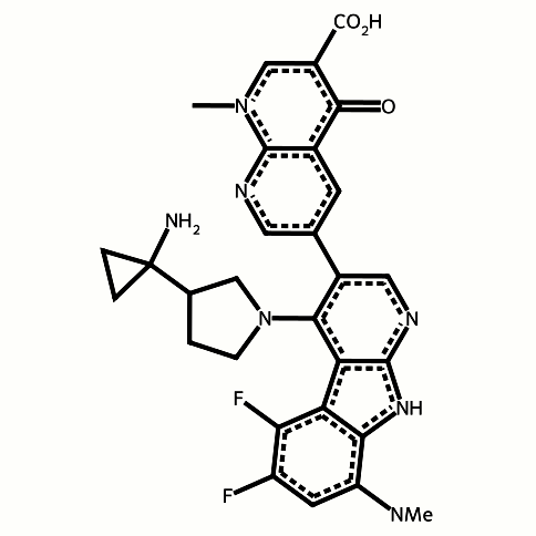 CNc1cc(F)c(F)c2c1[nH]c1ncc(-c3cnc4c(c3)c(=O)c(C(=O)O)cn4C)c(N3CCC(C4(N)CC4)C3)c12